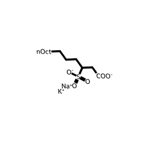 CCCCCCCCCCCC(CC(=O)[O-])S(=O)(=O)[O-].[K+].[Na+]